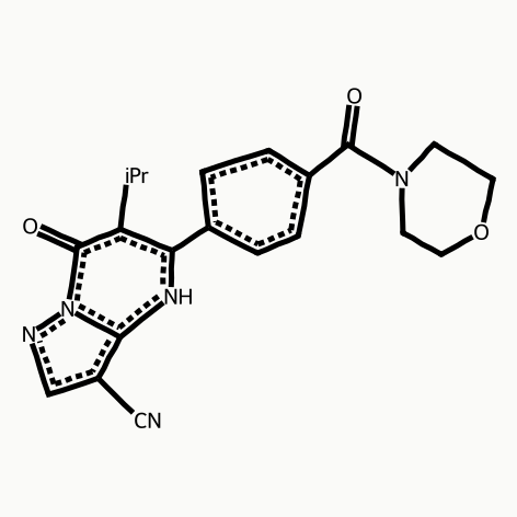 CC(C)c1c(-c2ccc(C(=O)N3CCOCC3)cc2)[nH]c2c(C#N)cnn2c1=O